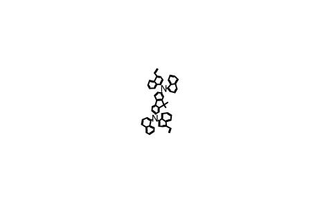 C=Cc1ccc(N(c2ccc3c(c2)C(C)(C)c2cc(N(c4cccc5ccccc45)c4ccc(C=C)c5ccccc45)ccc2-3)c2cccc3ccccc23)c2ccccc12